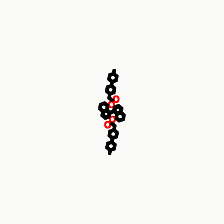 CC1CCC(C2CCC(CC(=O)Oc3ccc4c(c3-c3c(OC(=O)CC5CCC(C6CCC(C)CC6)CC5)ccc5c3CCCC5)CCCC4)CC2)CC1